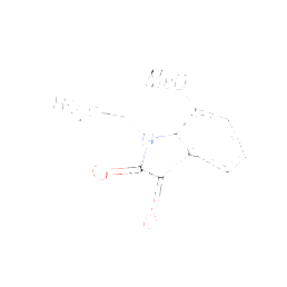 COc1cccc2c1N(CC(=O)O)C(=O)C2=O